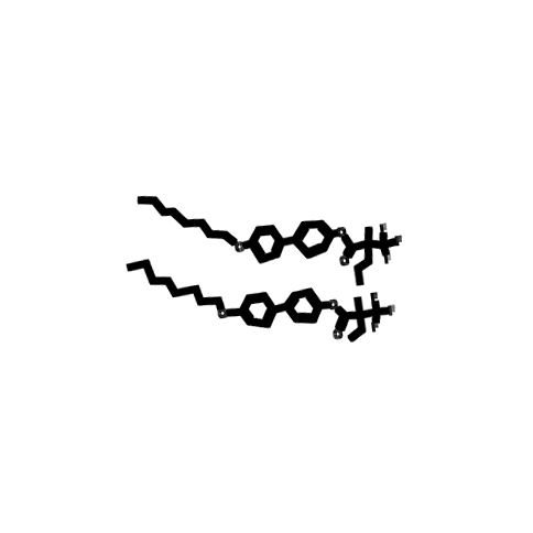 CCCCCCCCOc1ccc(-c2ccc(OC(=O)C(C)(CC)C(F)(F)F)cc2)cc1.CCCCCCCCOc1ccc(-c2ccc(OC(=O)C(C)(CCC)C(F)(F)F)cc2)cc1